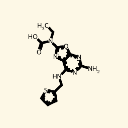 CCN(C(=O)O)c1nc2c(NCc3cccs3)nc(N)nc2o1